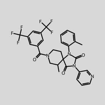 Cc1ccccc1N1C(=O)N(c2cccnc2)C(=O)C12CCN(C(=O)c1cc(C(F)(F)F)cc(C(F)(F)F)c1)CC2C